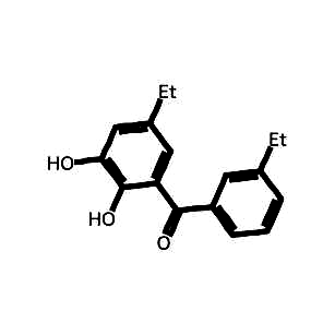 CCc1cccc(C(=O)c2cc(CC)cc(O)c2O)c1